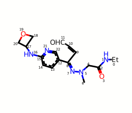 CCNC(=O)CN(C)/N=C(\C=C/C=O)c1ccc(NC2COC2)nc1